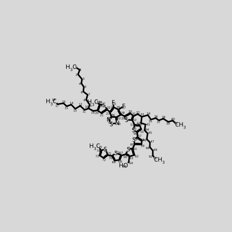 CCCCCCCCCCC(CCCCCCCC)Cc1cc(-c2c(F)c(F)c(-c3cc(CC(CCCCCCCC)CCCCCCCCCC)c(-c4ccc(-c5ccc(-c6cc(CO)c(-c7ccc(-c8ccc(C)s8)s7)s6)s5)s4)s3)c3nsnc23)sc1C